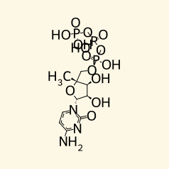 C[C@]1(COP(=O)(O)OP(=O)(O)OP(=O)(O)O)O[C@@H](n2ccc(N)nc2=O)[C@H](O)[C@@H]1O